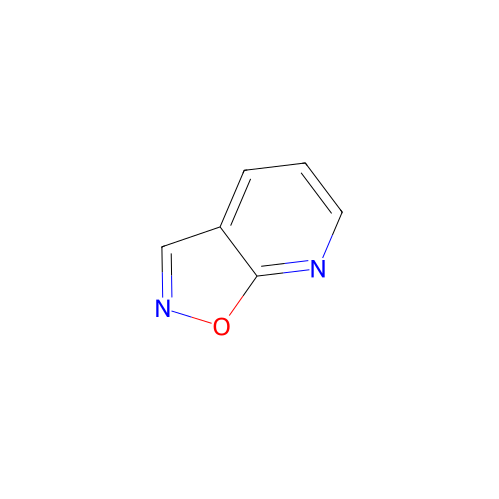 c1cnc2oncc2c1